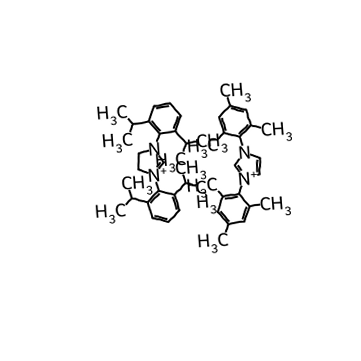 CC(C)c1cccc(C(C)C)c1N1C=[N+](c2c(C(C)C)cccc2C(C)C)CC1.Cc1cc(C)c(-n2cc[n+](-c3c(C)cc(C)cc3C)c2)c(C)c1